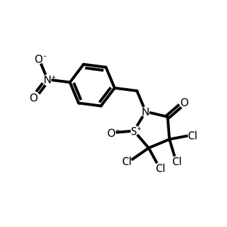 O=C1N(Cc2ccc([N+](=O)[O-])cc2)[S+]([O-])C(Cl)(Cl)C1(Cl)Cl